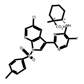 Cc1ccc(S(=O)(=O)n2cc(-c3ncc(F)c(N[C@H]4CCCC[C@]4(C)C(=O)O)n3)c3cc(Cl)cnc32)cc1